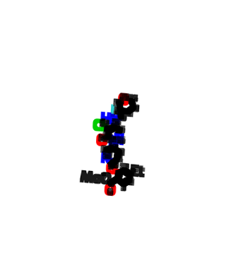 CCc1ccc(C(=O)OC)c(Oc2ccc(-n3ncc(NC[C@@]4(F)CCCOC4)c(Cl)c3=O)cn2)c1